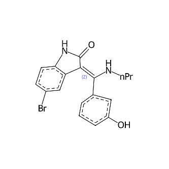 CCCN/C(=C1\C(=O)Nc2ccc(Br)cc21)c1cccc(O)c1